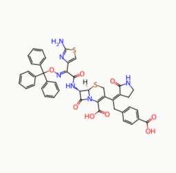 Nc1nc(C(=NOC(c2ccccc2)(c2ccccc2)c2ccccc2)C(=O)N[C@@H]2C(=O)N3C(C(=O)O)=C(C(Cc4ccc(C(=O)O)cc4)=C4CCNC4=O)CS[C@H]23)cs1